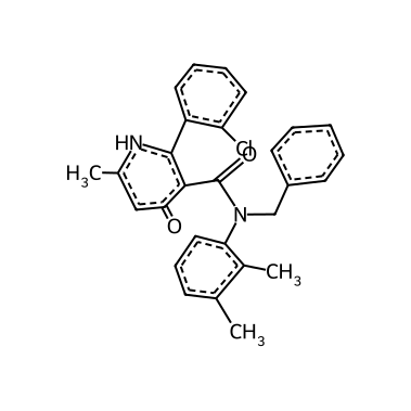 Cc1cc(=O)c(C(=O)N(Cc2ccccc2)c2cccc(C)c2C)c(-c2ccccc2Cl)[nH]1